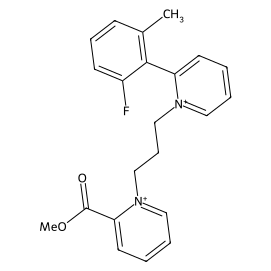 COC(=O)c1cccc[n+]1CCC[n+]1ccccc1-c1c(C)cccc1F